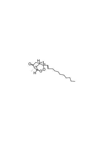 CCCCCCCCCC=C[C@]1(C)OO[C@H]2C[C@@H]1CC(=O)[C@H]2C